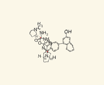 CN1CCC[C@H]1COc1nc(N2[C@@H]3CC[C@H]2CN(C(=O)CNC(N)=O)C3)c2ccc(-c3cc(O)cc4ccccc34)cc2n1